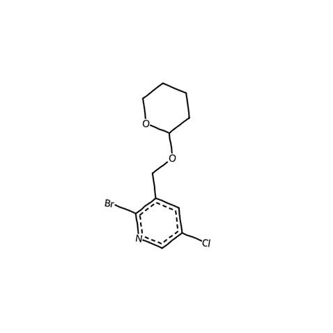 Clc1cnc(Br)c(COC2CCCCO2)c1